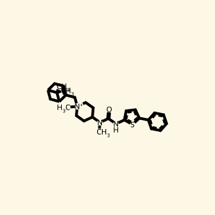 CN(C(=O)Nc1ccc(-c2ccccc2)s1)C1CC[N+](C)(CC2=CCC3CC2C3(C)C)CC1